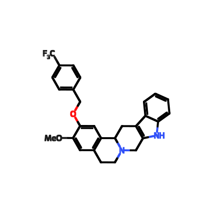 COc1cc2c(cc1OCc1ccc(C(F)(F)F)cc1)C1Cc3c([nH]c4ccccc34)CN1CC2